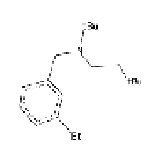 CCc1cccc(CN(CCC(C)(C)C)C(C)(C)C)c1